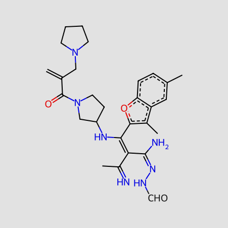 C=C(CN1CCCC1)C(=O)N1CCC(N/C(=C(C(C)=N)/C(N)=N\NC=O)c2oc3ccc(C)cc3c2C)C1